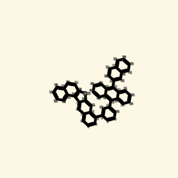 c1cc(-c2cccc3cc4c(cc23)oc2ccc3ccccc3c24)cc(-c2c3ccccc3c(-c3ccc4ccccc4c3)c3ccccc23)c1